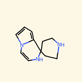 C1=Cn2cccc2C2(CCNCC2)N1